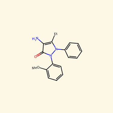 CCc1c(N)c(=O)n(-c2ccccc2OC)n1-c1ccccc1